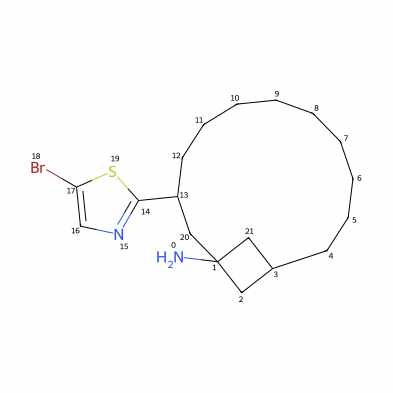 NC12CC(CCCCCCCCCC(c3ncc(Br)s3)C1)C2